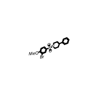 COc1ccc(S(=O)(=O)N2CCC(c3ccccc3)CC2)cc1Br